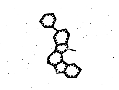 Cn1c2ccc(-c3ccccc3)cc2c2ccc3oc4ccccc4c3c21